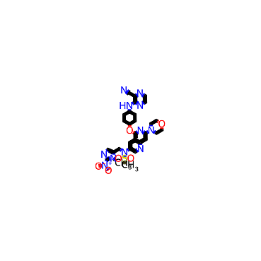 Cn1c(CN(c2cnc3cc(N4CCOCC4)nc(OC4CCC(Nc5nccnc5C#N)CC4)c3c2)S(C)(=O)=O)cnc1[N+](=O)[O-]